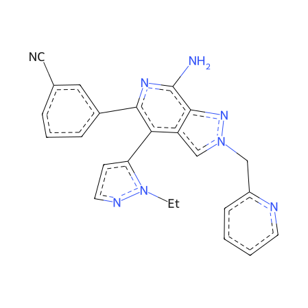 CCn1nccc1-c1c(-c2cccc(C#N)c2)nc(N)c2nn(Cc3ccccn3)cc12